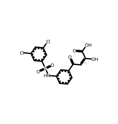 O=C(O)/C(O)=C\C(=O)c1cccc(NS(=O)(=O)c2cc(Cl)cc(Cl)c2)c1